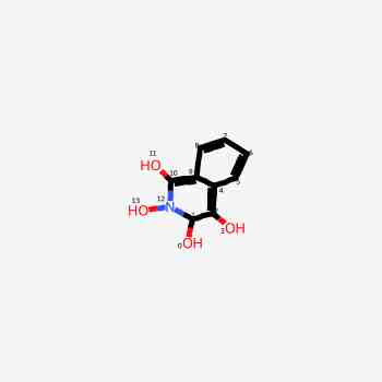 O[C]1C(O)=c2ccccc2=C(O)N1O